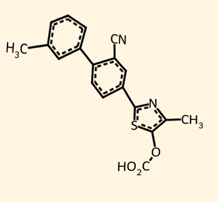 Cc1cccc(-c2ccc(-c3nc(C)c(OC(=O)O)s3)cc2C#N)c1